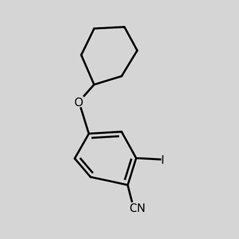 N#Cc1ccc(OC2CCCCC2)cc1I